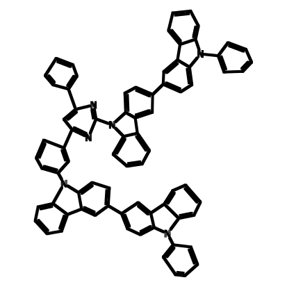 c1ccc(-c2cc(-c3cccc(-n4c5ccccc5c5cc(-c6ccc7c(c6)c6ccccc6n7-c6ccccc6)ccc54)c3)nc(-n3c4ccccc4c4cc(-c5ccc6c(c5)c5ccccc5n6-c5ccccc5)ccc43)n2)cc1